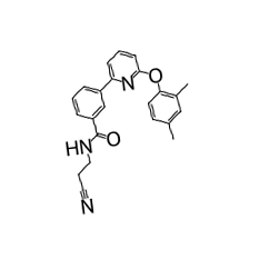 Cc1ccc(Oc2cccc(-c3cccc(C(=O)NCCC#N)c3)n2)c(C)c1